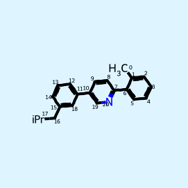 Cc1ccccc1-c1ccc(-c2cccc(CC(C)C)c2)cn1